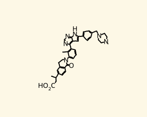 Cc1c(-c2ncnc3[nH]c(-c4ccc(CN5CCN(C)CC5)cc4)cc23)cccc1N1CCc2cc(C(C)CC(=O)O)ccc2C1=O